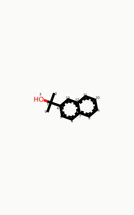 CC(C)(O)c1ccc2ccccc2c1